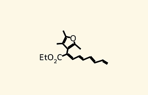 C=C/C=C/C=C/C=C(/C(=O)OCC)c1c(C)oc(C)c1C